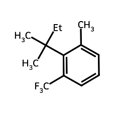 CCC(C)(C)c1c(C)cccc1C(F)(F)F